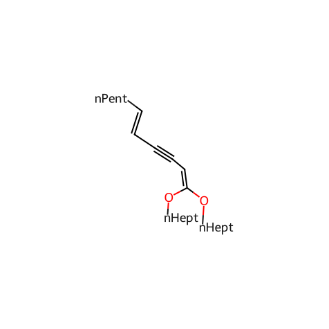 CCCCC/C=C/C#CC=C(OCCCCCCC)OCCCCCCC